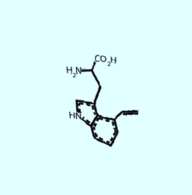 C=Cc1cccc2[nH]cc(CC(N)C(=O)O)c12